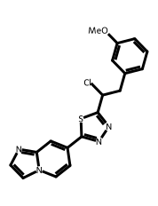 COc1cccc(CC(Cl)c2nnc(-c3ccn4ccnc4c3)s2)c1